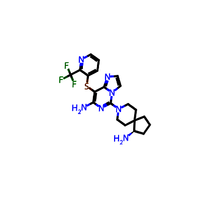 Nc1nc(N2CCC3(CCC[C@H]3N)CC2)n2ccnc2c1Sc1cccnc1C(F)(F)F